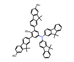 CC(C)(C)c1ccc2c(c1)C(C)(C)c1cc(-c3cc(N(c4ccc5c(c4)C(C)(C)c4ccccc4-5)c4ccc5c(c4)C(C)(C)c4ccccc4-5)cc(-c4ccc5c(c4)C(C)(C)c4cc(C(C)(C)C)ccc4-5)c3C(C)(C)C)ccc1-2